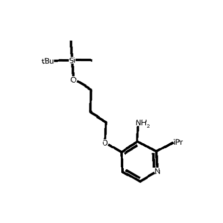 CC(C)c1nccc(OCCCO[Si](C)(C)C(C)(C)C)c1N